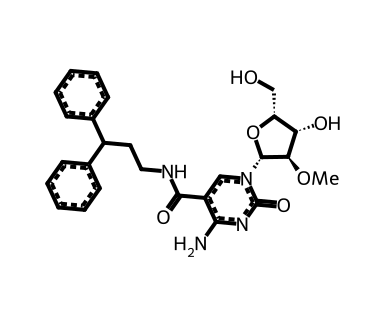 CO[C@@H]1[C@@H](O)[C@@H](CO)O[C@H]1n1cc(C(=O)NCCC(c2ccccc2)c2ccccc2)c(N)nc1=O